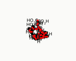 O=C(O)CC[C@H](NC(=O)N[C@@H](CCCCNC(=O)CCCCCCCNC(=O)C(Cc1ccccc1)NC(=O)[C@@H](Cc1ccccc1)NC(=O)CCCC(=O)NC12CNCCNCC(NC(=O)CCCC(=O)N[C@H](Cc3ccccc3)C(=O)N[C@H](Cc3ccccc3)C(=O)NCCCCCCCC(=O)NCCCC[C@H](NC(=O)N[C@@H](CCC(=O)O)C(=O)O)C(=O)O)(CNCCNC1)CNCCNC2)C(=O)O)C(=O)O